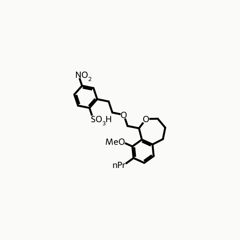 CCCc1ccc2c(c1OC)C(COCCc1cc([N+](=O)[O-])ccc1S(=O)(=O)O)OCCC2